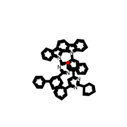 C1=CCC(c2nc(-c3ccccc3)cc(-c3ccc(-n4c5ccccc5c5ccc6c7ccccc7n(-c7nc(-c8ccccc8)nc(-c8cccc(-c9ccccc9)c8)n7)c6c54)cc3)n2)C=C1